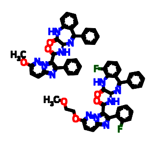 COCCOc1ccc2nc(-c3ccccc3F)c(C(=O)N[C@H]3N=C(c4ccccc4)c4cccc(F)c4NC3=O)n2n1.COc1ccc2nc(-c3ccccc3)c(C(=O)N[C@H]3N=C(c4ccccc4)c4ccccc4NC3=O)n2n1